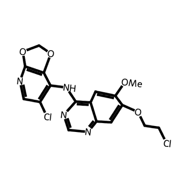 COc1cc2c(Nc3c(Cl)cnc4c3OCO4)ncnc2cc1OCCCl